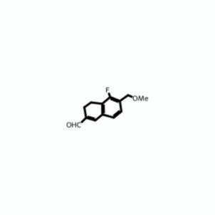 COCc1ccc2c(c1F)CCC(C=O)=C2